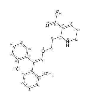 Cc1ccccc1C(=COCCC1NCCC=C1C(=O)O)c1ccccc1Cl